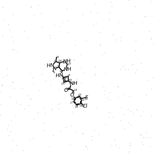 CC1NN(C)C2C(NC34CC(NC(=O)COc5ccc(Cl)c(F)c5)(C3)C4)NCNC12